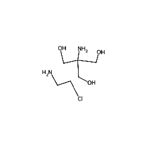 NC(CO)(CO)CO.NCCCl